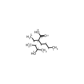 CCC(C)O.CCCCC(CC)C(=O)O